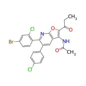 CCC(=O)c1oc2nc(-c3ccc(Br)cc3Cl)c(-c3ccc(Cl)cc3)cc2c1NC(C)=O